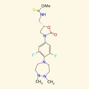 COC(=S)NC[C@H]1CN(c2cc(F)c(N3CCN(C)N(C)CC3)c(F)c2)C(=O)O1